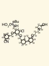 CCCCC(NCc1cc(Cl)c(OCc2cccc(-c3cccc(OCCCN4CCC(O)C4)c3C)c2C)cc1OCc1cncc(C#N)c1)C(=O)O